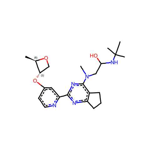 C[C@H]1OC[C@@H]1Oc1ccnc(-c2nc3c(c(N(C)CC(O)NC(C)(C)C)n2)CCC3)c1